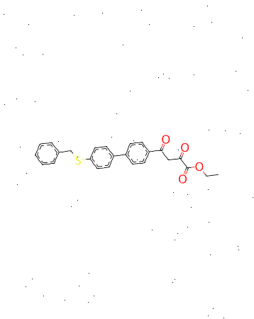 CCOC(=O)C(=O)CC(=O)c1ccc(-c2ccc(SCc3ccccc3)cc2)cc1